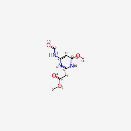 COC(=O)Cc1nc(NC=O)cc(OC)n1